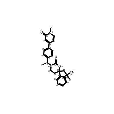 C[C@@H](c1ccc(-c2ccn(C)c(=O)c2)cc1)N1CCC(CC(C)(C)C#N)(c2ccccc2)OC1=O